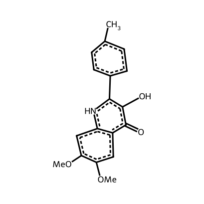 COc1cc2[nH]c(-c3ccc(C)cc3)c(O)c(=O)c2cc1OC